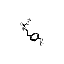 CCOc1ccc(CCNC(=O)OC(C)(C)C)cc1